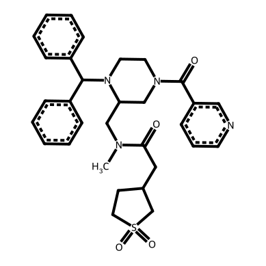 CN(CC1CN(C(=O)c2cccnc2)CCN1C(c1ccccc1)c1ccccc1)C(=O)CC1CCS(=O)(=O)C1